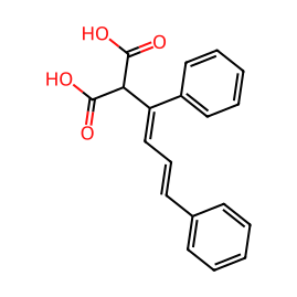 O=C(O)C(C(=O)O)C(=CC=Cc1ccccc1)c1ccccc1